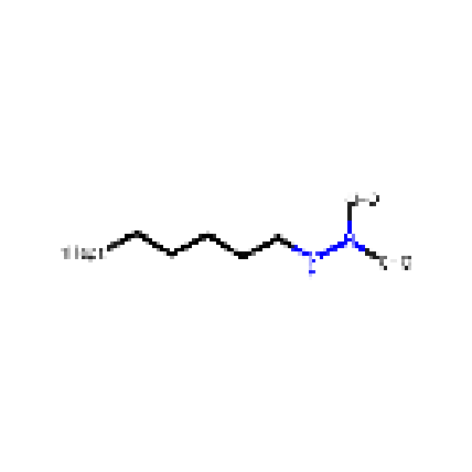 CCCCCCCCCCCCNN(C=O)C=O